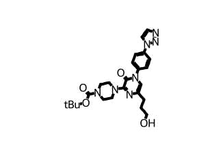 CC(C)(C)OC(=O)N1CCN(c2nc(CCCO)cn(-c3ccc(-n4ccnn4)cc3)c2=O)CC1